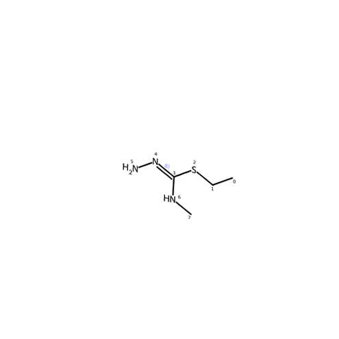 CCS/C(=N/N)NC